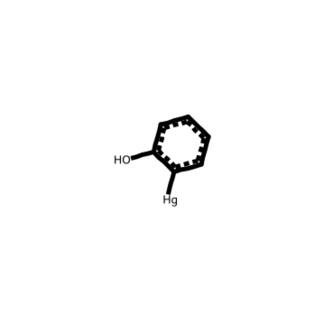 Oc1cccc[c]1[Hg]